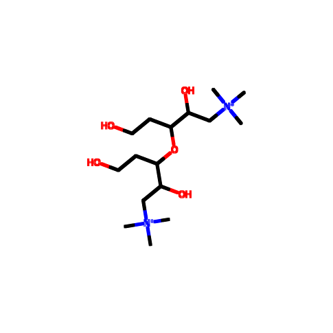 C[N+](C)(C)CC(O)C(CCO)OC(CCO)C(O)C[N+](C)(C)C